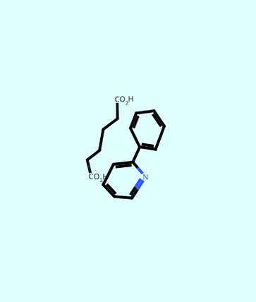 O=C(O)CCCCC(=O)O.c1ccc(-c2ccccn2)cc1